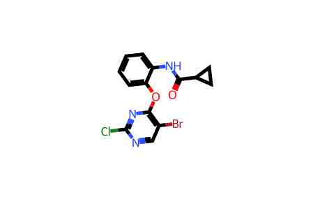 O=C(Nc1ccccc1Oc1nc(Cl)ncc1Br)C1CC1